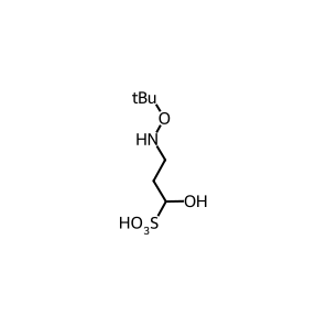 CC(C)(C)ONCCC(O)S(=O)(=O)O